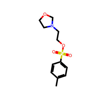 Cc1ccc(S(=O)(=O)OCCN2CCOC2)cc1